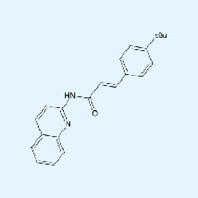 CC(C)(C)c1ccc(/C=C/C(=O)Nc2ccc3ccccc3n2)cc1